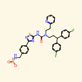 O=C(Nc1nc(-c2ccc(CN[SH](=O)=O)cc2)ns1)N(CCc1ccccn1)CCC(c1ccc(F)cc1)c1ccc(F)cc1